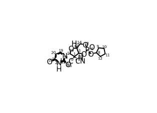 C[C@@]1(C#N)[C@@H]2OP(=O)(OC3CCCC3)OC[C@H]2O[C@H]1n1ccc(=O)[nH]c1=O